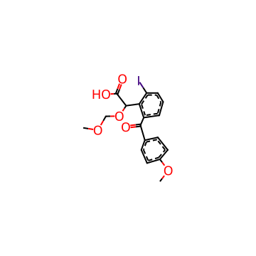 COCOC(C(=O)O)c1c(I)cccc1C(=O)c1ccc(OC)cc1